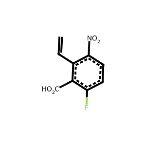 C=Cc1c([N+](=O)[O-])ccc(F)c1C(=O)O